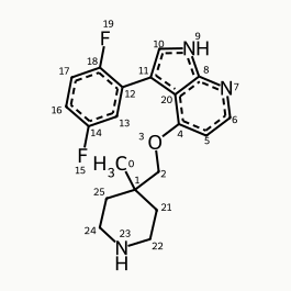 CC1(COc2ccnc3[nH]cc(-c4cc(F)ccc4F)c23)CCNCC1